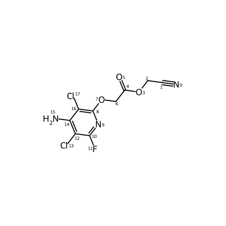 N#CCOC(=O)COc1nc(F)c(Cl)c(N)c1Cl